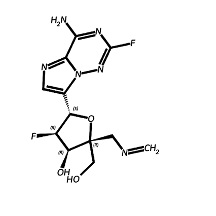 C=NC[C@]1(CO)O[C@@H](c2cnc3c(N)nc(F)nn23)[C@H](F)[C@@H]1O